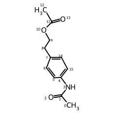 CC(=O)Nc1ccc(CCOC(C)=O)cc1